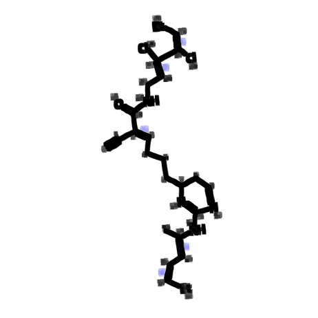 C#C/C(=C\CCCC1CC=NC(N/C(C)=C/C=C\CC)=N1)C(=O)NC/C=C(Cl)/C(Cl)=C\CC